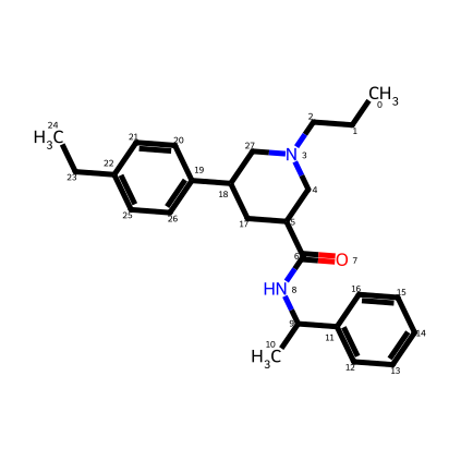 CCCN1CC(C(=O)NC(C)c2ccccc2)CC(c2ccc(CC)cc2)C1